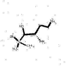 CC(C)(C)[Si](C)(C)C(O)[C@@H](N)CCN